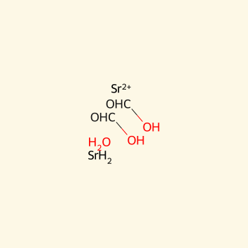 O.O=[C-]O.O=[C-]O.[Sr+2].[SrH2]